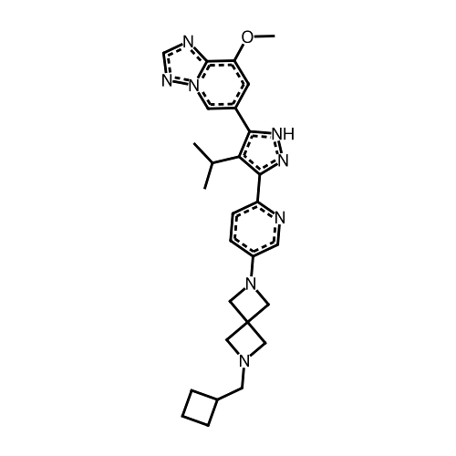 COc1cc(-c2[nH]nc(-c3ccc(N4CC5(CN(CC6CCC6)C5)C4)cn3)c2C(C)C)cn2ncnc12